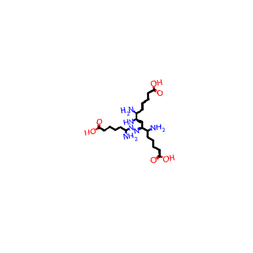 NC(CCCCC(=O)O)C1=CC(C(N)CCCCC(=O)O)=NN(C(N)CCCCC(=O)O)N1